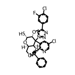 CO[C@H]1[C@@H](S)O[C@@H]2COC(c3ccccc3)O[C@@H]2C1(c1cc(Cl)cnc1C#N)n1cc(-c2ccc(Cl)c(F)c2)nn1